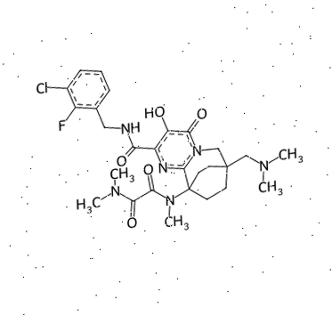 CN(C)CC12CCC(N(C)C(=O)C(=O)N(C)C)(CC1)c1nc(C(=O)NCc3cccc(Cl)c3F)c(O)c(=O)n1C2